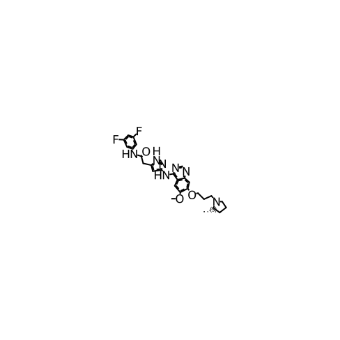 [CH2][C@H]1CCCN1CCCOc1cc2ncnc(Nc3cc(CC(=O)Nc4cc(F)cc(F)c4)[nH]n3)c2cc1OC